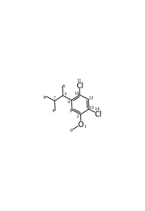 COc1cc(C(C)C(C)C)c(Cl)cc1Cl